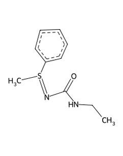 CCNC(=O)/N=S(/C)c1ccccc1